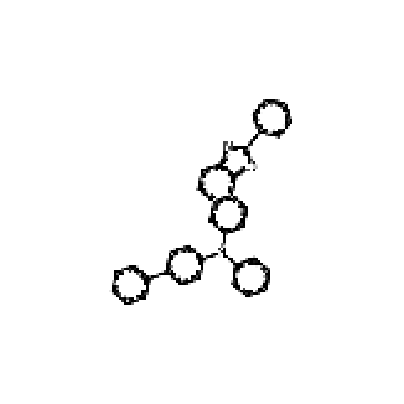 c1ccc(-c2ccc(N(c3ccccc3)c3ccc4c(ccc5nc(-c6ccccc6)oc54)c3)cc2)cc1